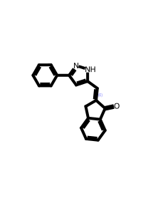 O=C1/C(=C/c2cc(-c3ccccc3)n[nH]2)Cc2ccccc21